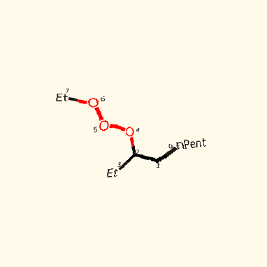 CCCCCCC(CC)OOOCC